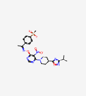 CC(=NOc1ncnc(N2CCC(c3nc(C(C)C)no3)CC2)c1[N+](=O)[O-])c1ccc(S(C)(=O)=O)cc1